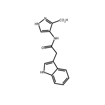 O=C(Cc1c[nH]c2ccccc12)Nc1c[nH]nc1C(=O)O